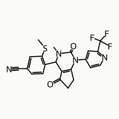 CSc1cc(C#N)ccc1C1C2=C(CCC2=O)N(c2ccnc(C(F)(F)F)c2)C(=O)N1C